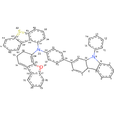 C1=CC2c3ccccc3N(c3ccccc3)C2C=C1c1ccc(N(C2=c3oc4ccccc4c3=CCC2)c2cccc3sc4ccccc4c23)cc1